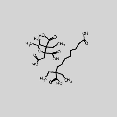 CCC(CC)(CCCCCCCC(=O)O)C(=O)O.CCOC(CC(=O)O)(C(=O)O)C(CC)(CC)C(=O)O